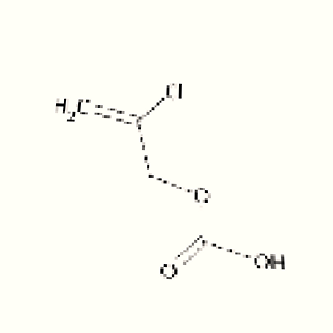 C=C(Cl)COC(=O)O